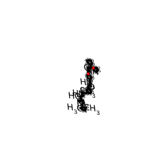 Cc1ccc(C)n1-c1ccc([C@H](O)CN[C@H](C)Cc2cccc(CC(=O)NCc3ccc(CNC(=O)C(c4ccccc4)c4ccccc4)cc3)c2)cn1